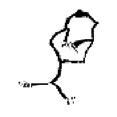 CCCCC(CCC)C1CC2CCC(C1)N2